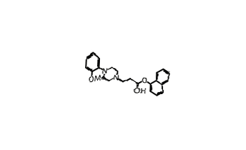 COc1ccccc1N1CCN(CCC(O)Oc2cccc3ccccc23)CC1